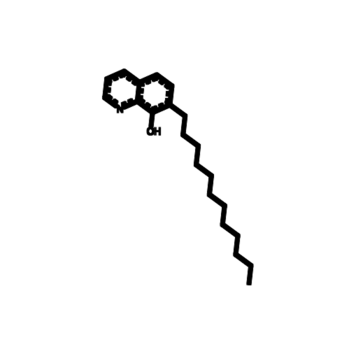 CCCCCCCCCCCCc1ccc2cccnc2c1O